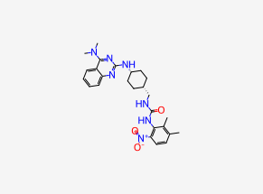 Cc1ccc([N+](=O)[O-])c(NC(=O)NC[C@H]2CC[C@@H](Nc3nc(N(C)C)c4ccccc4n3)CC2)c1C